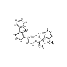 CCC(CC)(c1ccccc1)N(C)c1ccc(-c2cccc3c2oc2ccccc23)cc1